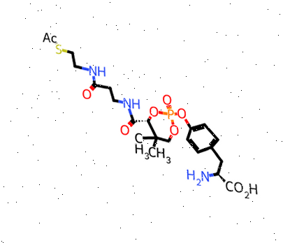 CC(=O)SCCNC(=O)CCNC(=O)[C@@H]1OP(=O)(Oc2ccc(C[C@H](N)C(=O)O)cc2)OCC1(C)C